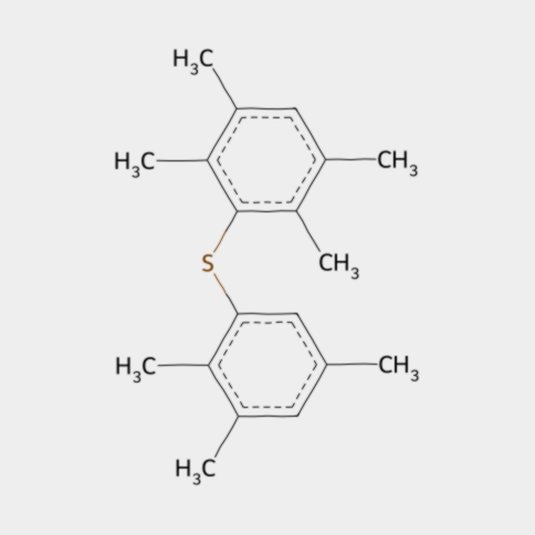 Cc1cc(C)c(C)c(Sc2c(C)c(C)cc(C)c2C)c1